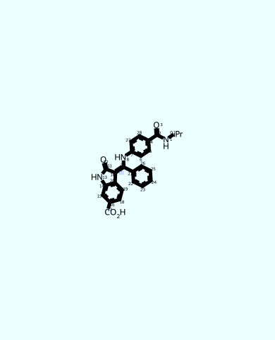 CC(C)NC(=O)c1ccc(N/C(=C2\C(=O)Nc3cc(C(=O)O)ccc32)c2ccccc2)cc1